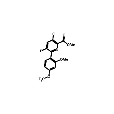 COC(=O)c1nc(-c2ccc(OC(F)(F)F)cc2OC)c(F)cc1Cl